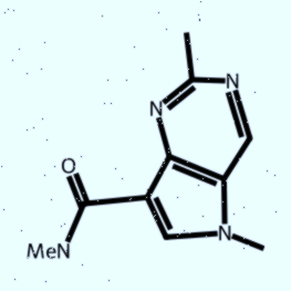 CNC(=O)c1cn(C)c2cnc(C)nc12